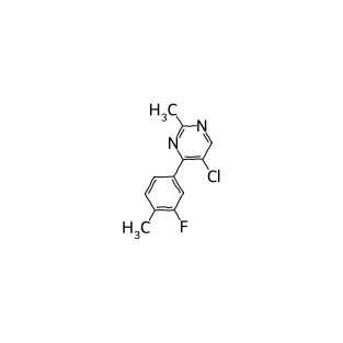 Cc1ncc(Cl)c(-c2ccc(C)c(F)c2)n1